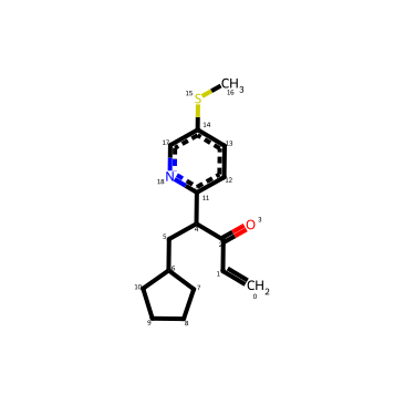 C=CC(=O)C(CC1CCCC1)c1ccc(SC)cn1